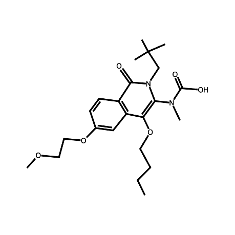 CCCCOc1c(N(C)C(=O)O)n(CC(C)(C)C)c(=O)c2ccc(OCCOC)cc12